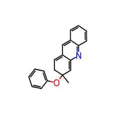 CC1(Oc2ccccc2)C=c2nc3ccccc3cc2=CC1